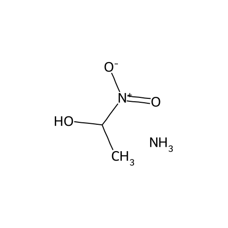 CC(O)[N+](=O)[O-].N